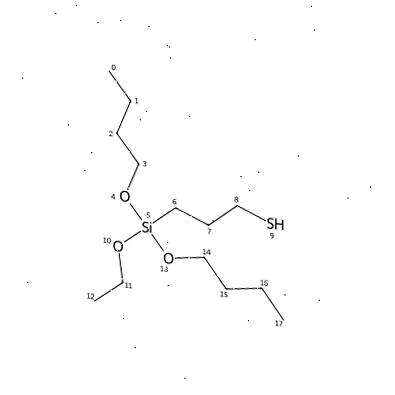 CCCCO[Si](CCCS)(OCC)OCCCC